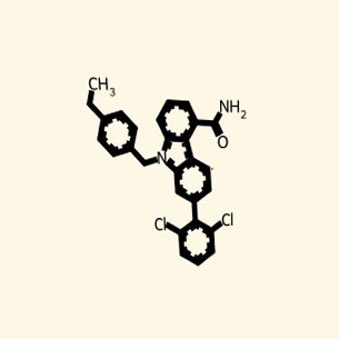 CCc1ccc(Cn2c3cc(-c4c(Cl)cccc4Cl)c[c]c3c3c(C(N)=O)cccc32)cc1